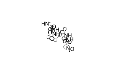 CC(=O)N1CCCC(S(=O)(=O)NC(=O)Nc2c3c(cc4c2CC(C2CCc5cc6c(c(NC(=O)NS(=O)(=O)C7CCNC7)c52)CCC6)C4)CCC3)C1